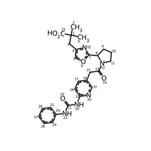 CC(C)(Cc1coc(C2CCCN2C(=O)Cc2ccc(NC(=O)Nc3ccccc3)nc2)n1)C(=O)O